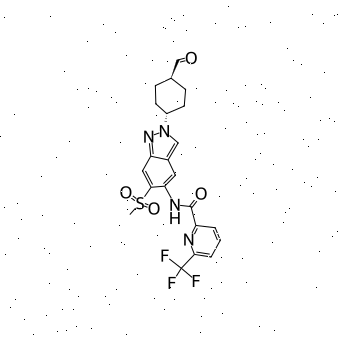 CS(=O)(=O)c1cc2nn([C@H]3CC[C@H](C=O)CC3)cc2cc1NC(=O)c1cccc(C(F)(F)F)n1